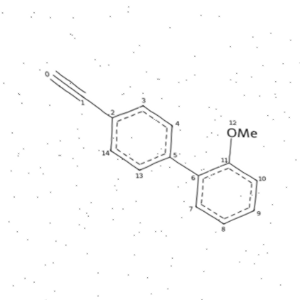 C#Cc1ccc(-c2ccccc2OC)cc1